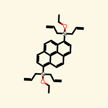 C=CC[Si](CC=C)(OCC)c1ccc2ccc3c([Si](CC=C)(CC=C)OCC)ccc4ccc1c2c43